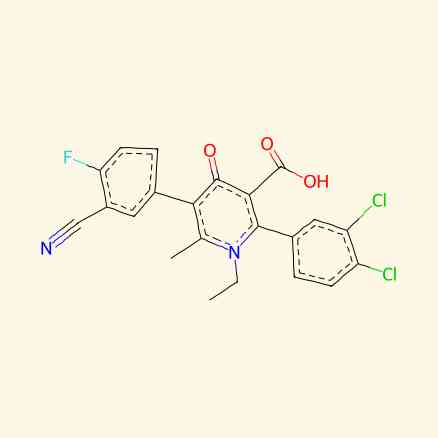 CCn1c(C)c(-c2ccc(F)c(C#N)c2)c(=O)c(C(=O)O)c1-c1ccc(Cl)c(Cl)c1